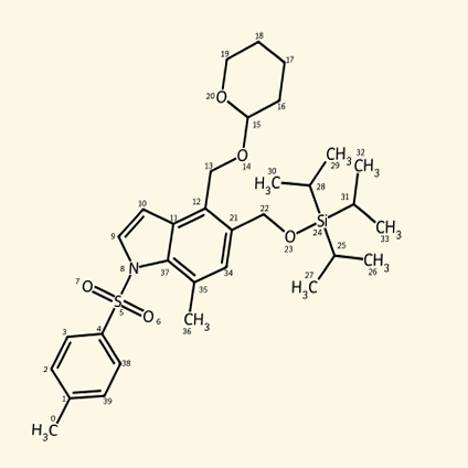 Cc1ccc(S(=O)(=O)n2ccc3c(COC4CCCCO4)c(CO[Si](C(C)C)(C(C)C)C(C)C)cc(C)c32)cc1